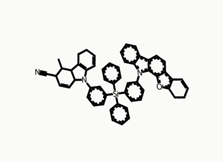 CC1C(C#N)C=CC2C1C1=C(C=CCC1)N2c1cccc([Si](c2ccccc2)(c2ccccc2)c2cccc(-n3c4ccccc4c4ccc5c6c(oc5c43)CCC=C6)c2)c1